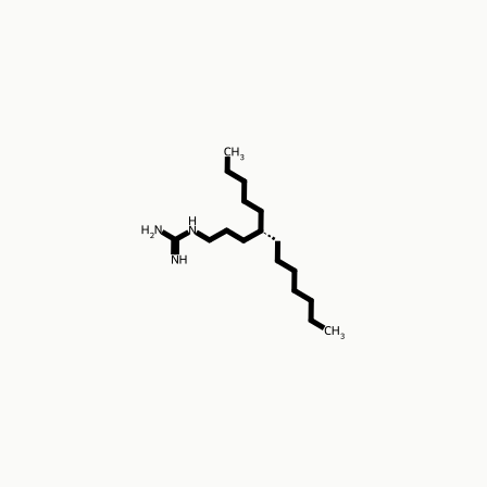 CCCCCCC[C@@H](CCCCC)CCCNC(=N)N